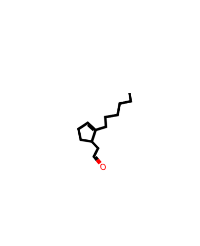 CCCCCCC1=CCCC1CC=O